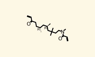 C=CC(=O)CC[C@@H](C)C[C@@H](C)CC(C)(C)CCN(C)C(=O)C=C